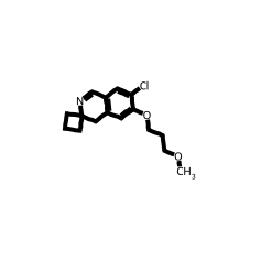 COCCCOc1cc2c(cc1Cl)C=NC1(CCC1)C2